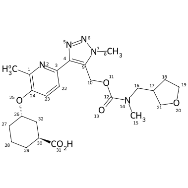 Cc1nc(-c2nnn(C)c2COC(=O)N(C)CC2CCOC2)ccc1O[C@H]1CCC[C@H](C(=O)O)C1